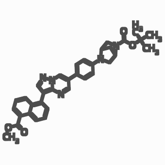 COC(=O)c1cccc2c(-c3cnn4cc(-c5ccc(N6CC7CC6CN7C(=O)OC(C)(C)C)cc5)cnc34)cccc12